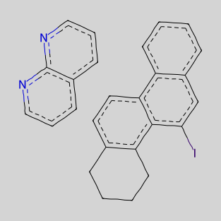 Ic1cc2ccccc2c2ccc3c(c12)CCCC3.c1cnc2ncccc2c1